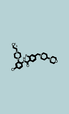 O=C(Nc1ccc(Cl)cc1N1CCN(CCC(F)(F)F)CC1)c1ccc(CN2CCC(N3CCOCC3)CC2)cc1F